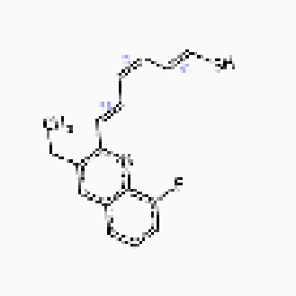 CCc1cc2cccc(F)c2nc1/C=C/C=C\C=C\S